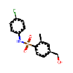 Cc1cc(CO)ccc1S(=O)(=O)Nc1ccc(F)cc1